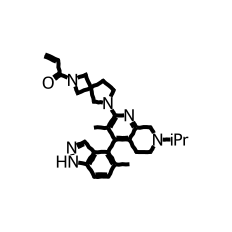 C=CC(=O)N1CC2(CCN(c3nc4c(c(-c5c(C)ccc6[nH]ncc56)c3C)CCN(C(C)C)C4)C2)C1